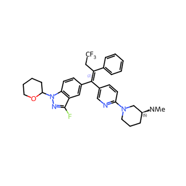 CN[C@H]1CCCN(c2ccc(/C(=C(/CC(F)(F)F)c3ccccc3)c3ccc4c(c3)c(F)nn4C3CCCCO3)cn2)C1